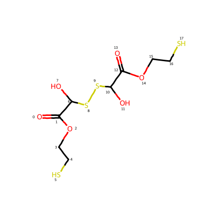 O=C(OCCS)C(O)SSC(O)C(=O)OCCS